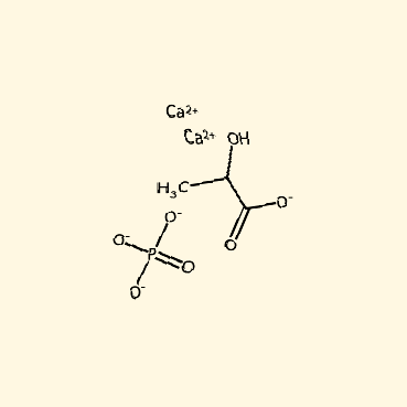 CC(O)C(=O)[O-].O=P([O-])([O-])[O-].[Ca+2].[Ca+2]